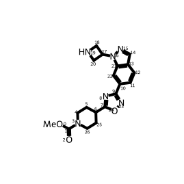 COC(=O)N1CCC(c2nc(-c3ccc4cnn(C5CNC5)c4c3)no2)CC1